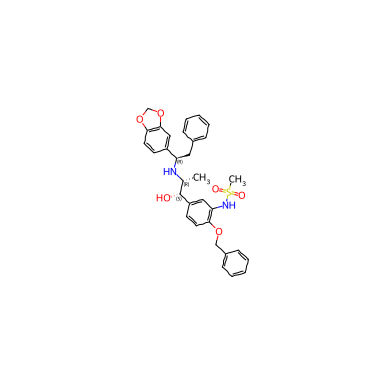 C[C@@H](N[C@H](Cc1ccccc1)c1ccc2c(c1)OCO2)[C@@H](O)c1ccc(OCc2ccccc2)c(NS(C)(=O)=O)c1